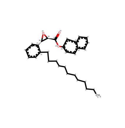 CCCCCCCCCCCCc1ccccc1[C@@H]1O[C@H]1C(=O)Oc1ccc2ccccc2c1